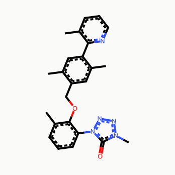 Cc1cc(-c2ncccc2C)c(C)cc1COc1c(C)cccc1-n1nnn(C)c1=O